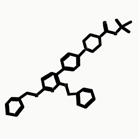 CC(C)(C)OC(=O)N1CCN(c2ccc(-c3ccc(OCc4ccccc4)nc3OCc3ccccc3)cc2)CC1